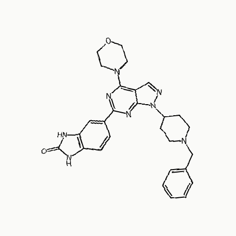 O=c1[nH]c2ccc(-c3nc(N4CCOCC4)c4cnn(C5CCN(Cc6ccccc6)CC5)c4n3)cc2[nH]1